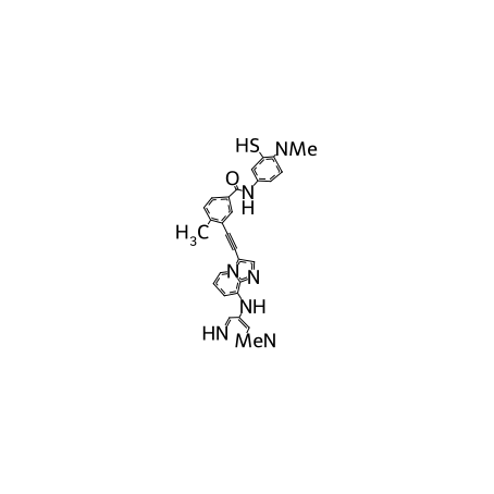 CN/C=C(\C=N)Nc1cccn2c(C#Cc3cc(C(=O)Nc4ccc(NC)c(S)c4)ccc3C)cnc12